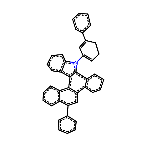 C1=C(c2ccccc2)CCC=C1n1c2ccccc2c2c3c4ccccc4c(-c4ccccc4)cc3c3ccccc3c21